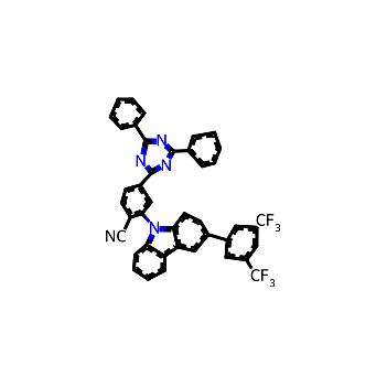 N#Cc1ccc(-c2nc(-c3ccccc3)nc(-c3ccccc3)n2)cc1-n1c2ccccc2c2cc(-c3cc(C(F)(F)F)cc(C(F)(F)F)c3)ccc21